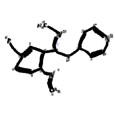 C=Nc1ccc(F)cc1/C(=N\C)Sc1ccncc1